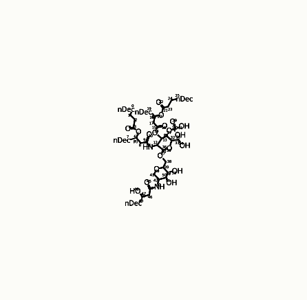 CCCCCCCCCCCCC(=O)O[C@H](CCCCCCCCCC)CC(=O)NC1C(OC(=O)C[C@@H](CCCCCCCCCC)OC(=O)CCCCCCCCCCCC)[C@H](OP(=O)(O)O)C(CO)O[C@H]1OCC1OCC(NC(=O)C[C@H](O)CCCCCCCCCC)C(O)[C@@H]1O